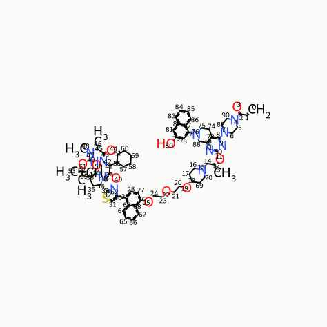 C=CC(=O)N1CCN(c2nc(OC(C)CN3CCC(OCCOCCOc4ccc(-c5csc([C@@H]6CCCN6C(=O)C(NC(=O)C(C)N(C)C(=O)OC(C)(C)C)C6CCCCC6)n5)c5ccccc45)CC3)nc3c2CCN(c2cc(O)cc4ccccc24)C3)CC1